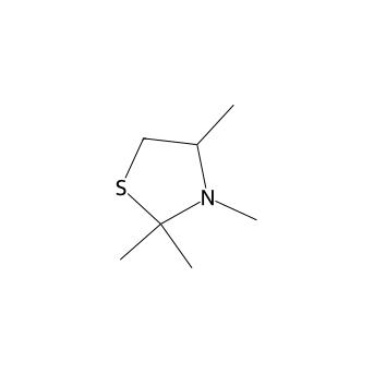 CC1CSC(C)(C)N1C